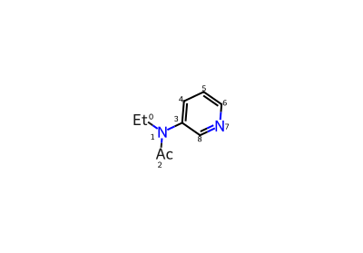 CCN(C(C)=O)c1cccnc1